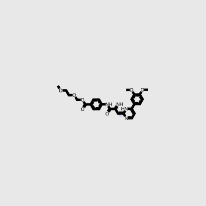 COCCOCOC(=O)c1ccc(NC(=O)C(=N)/C=C2/N=CC=C(c3ccc(OC)c(OC)c3)N2)cc1